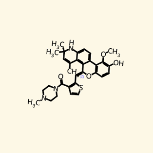 COc1c(O)ccc2c1-c1ccc3c(c1/C(=C/c1sccc1C(=O)N1CCN(C)CC1)O2)C(C)=CC(C)(C)N3